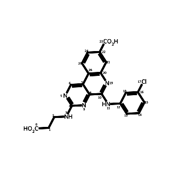 O=C(O)CCNc1ncc2c(n1)c(Nc1cccc(Cl)c1)nc1cc(C(=O)O)ccc12